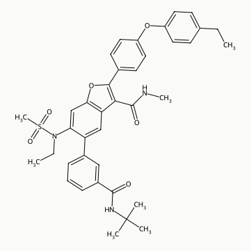 CCc1ccc(Oc2ccc(-c3oc4cc(N(CC)S(C)(=O)=O)c(-c5cccc(C(=O)NC(C)(C)C)c5)cc4c3C(=O)NC)cc2)cc1